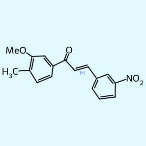 COc1cc(C(=O)/C=C/c2cccc([N+](=O)[O-])c2)ccc1C